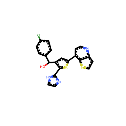 OC(c1ccc(Cl)cc1)c1cc(-c2ccnc3ccsc23)sc1-c1ncc[nH]1